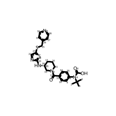 CC(C)(C)N(C(=O)O)c1ccc(C(=O)N2CCC[C@@H](Nc3ncc(SCc4ccncc4)s3)C2)cc1